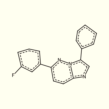 Fc1cccc(-c2ccc3ncc(-c4ccccc4)n3n2)c1